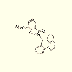 COc1cccc(C(=O)NCc2ccccc2C2CCCC3CCCCN32)c1Cl